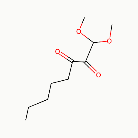 CCCCCC(=O)C(=O)C(OC)OC